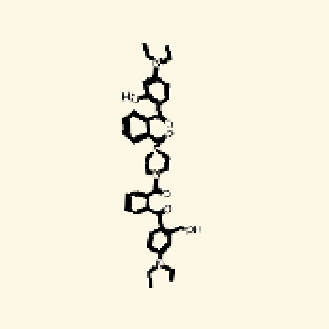 CCN(CC)c1ccc(C(=O)c2ccccc2C(=O)N2CCN(C(=O)c3ccccc3C(=O)c3ccc(N(CC)CC)cc3CO)CC2)c(O)c1